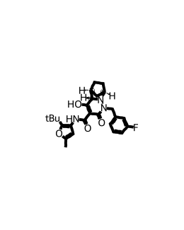 Cc1cc(NC(=O)C2=C(O)[C@@H]3[C@H]4CC[C@H](C4)N3N(Cc3cccc(F)c3)C2=O)c(C(C)(C)C)o1